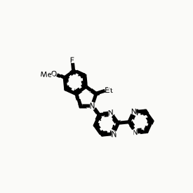 CCC1c2cc(F)c(OC)cc2CN1c1ccnc(-c2ncccn2)n1